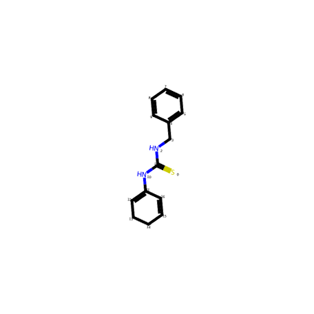 S=C(NCc1ccccc1)NC1=CC[CH]C=C1